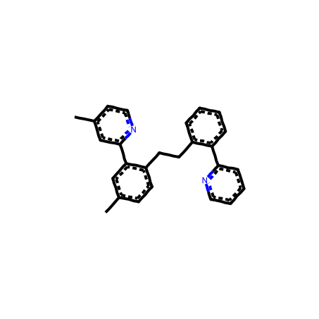 Cc1ccnc(-c2cc(C)ccc2CCc2ccccc2-c2ccccn2)c1